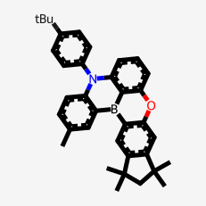 Cc1ccc2c(c1)B1c3cc4c(cc3Oc3cccc(c31)N2c1ccc(C(C)(C)C)cc1)C(C)(C)CC4(C)C